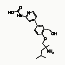 CC(C)CC(C)(N)COc1ccc(-c2ccnc(NC(=O)O)c2)cc1CO